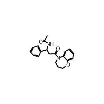 CC(=O)NC(CC(=O)N1CCCOc2ccccc21)c1ccccc1